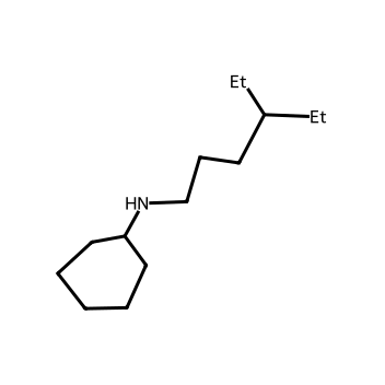 CCC(CC)CCCNC1CCCCC1